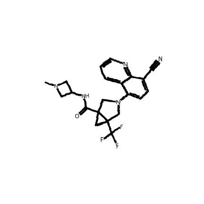 CN1CC(NC(=O)C23CN(c4ccc(C#N)c5ncccc45)CC2(C(F)(F)F)C3)C1